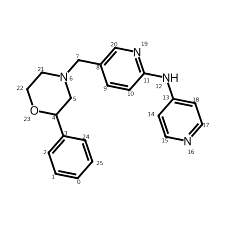 c1ccc(C2CN(Cc3ccc(Nc4ccncc4)nc3)CCO2)cc1